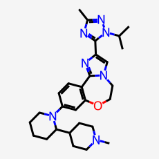 Cc1nc(-c2cn3c(n2)-c2ccc(N4CCCCC4C4CCN(C)CC4)cc2OCC3)n(C(C)C)n1